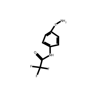 NSc1ccc(NC(=O)C(F)(F)F)cc1